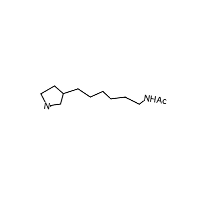 CC(=O)NCCCCCCC1CC[N]C1